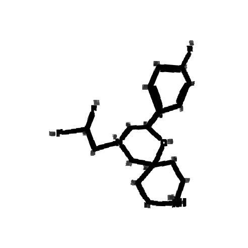 Fc1ccc(C2CN(CC(F)F)CC3(CCNCC3)O2)cc1